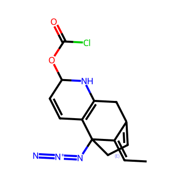 C/C=C1\C2=CCC1(N=[N+]=[N-])C1=C(C2)NC(OC(=O)Cl)C=C1